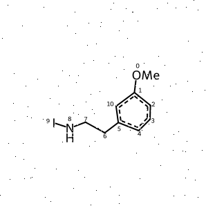 COc1cccc(CCNI)c1